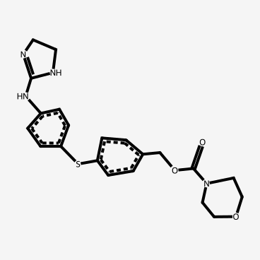 O=C(OCc1ccc(Sc2ccc(NC3=NCCN3)cc2)cc1)N1CCOCC1